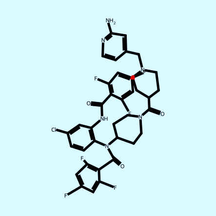 Nc1cc(CN2CCC(C(=O)N3CCC(N(C(=O)c4c(F)cc(F)cc4F)c4ccc(Cl)cc4NC(=O)c4c(F)cc(F)cc4F)CC3)CC2)ccn1